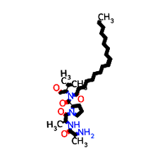 CCCCCCCC/C=C\CCCCCCCC(=O)N(C(=O)[C@@H]1CCCN1C(=O)[C@H](C)NC(=O)[C@H](C)N)[C@H](C=O)C(C)C